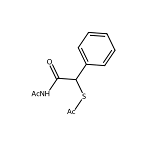 CC(=O)NC(=O)C(SC(C)=O)c1ccccc1